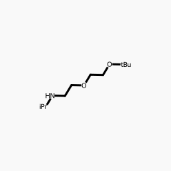 CC(C)NCCOCCOC(C)(C)C